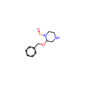 O=PN1CCNCC1OCc1ccccc1